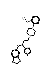 COc1ccccc1N1CCN(CCC(Oc2ccc3c(c2)OCO3)c2ccsc2)CC1